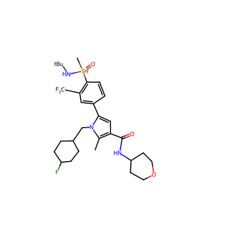 Cc1c(C(=O)NC2CCOCC2)cc(-c2ccc([SH](C)(=O)NC(C)(C)C)c(C(F)(F)F)c2)n1CC1CCC(F)CC1